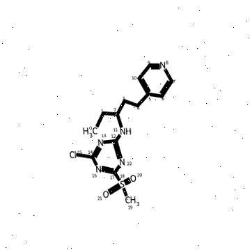 CCC(CCc1ccncc1)Nc1nc(Cl)nc(S(C)(=O)=O)n1